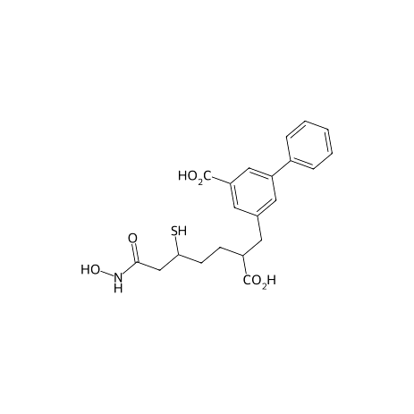 O=C(CC(S)CCC(Cc1cc(C(=O)O)cc(-c2ccccc2)c1)C(=O)O)NO